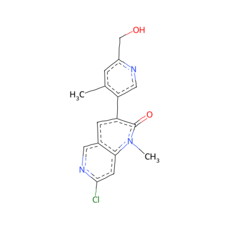 Cc1cc(CO)ncc1-c1cc2cnc(Cl)cc2n(C)c1=O